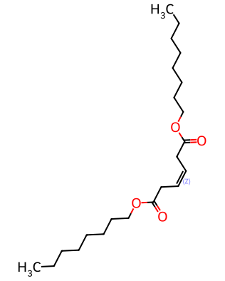 CCCCCCCCOC(=O)C/C=C\CC(=O)OCCCCCCCC